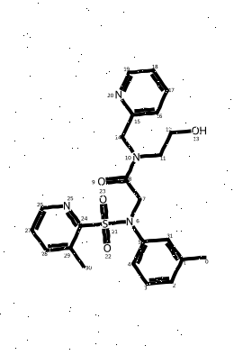 Cc1cccc(N(CC(=O)N(CCO)Cc2ccccn2)S(=O)(=O)c2ncccc2C)c1